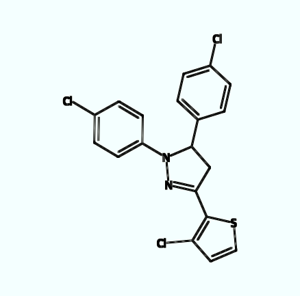 Clc1ccc(C2CC(c3sccc3Cl)=NN2c2ccc(Cl)cc2)cc1